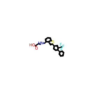 O=C(O)CCNCc1cccc2sc(-c3ccc(-c4ccccc4)c(C(F)(F)F)c3)cc12